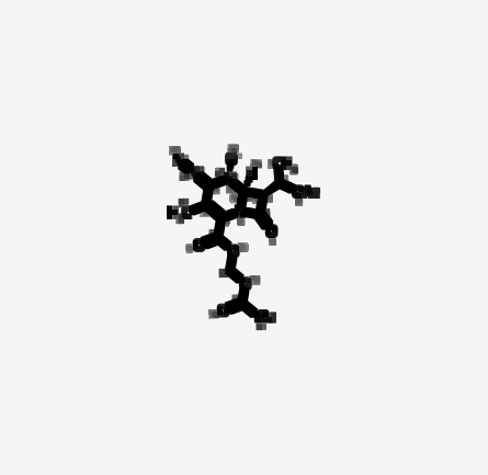 CC(=O)OC(C)[C@H]1C(=O)N2C(C(=O)OCOC(=O)C(C)(C)C)=C(C)C(=[N+]=[N-])[S@+]([O-])[C@@H]12